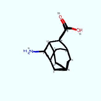 NC1C2CC3CC(C2)C(C(=O)O)C1C3